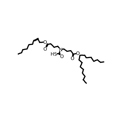 CCCCCC/C=C\COC(=O)CCCN(CCCC(=O)OC(CCCCCCC)CCCCCCCC)C(=O)S